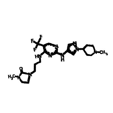 CN1CCC(n2cc(Nc3ncc(C(F)(F)F)c(NCCCN4CCN(C)C4=O)n3)cn2)CC1